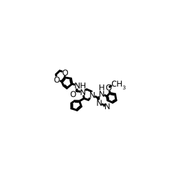 COc1ccccc1N/C(=N\C#N)N1CCN(C(=O)Nc2ccc3c(c2)OCCO3)C(c2ccccc2)C1